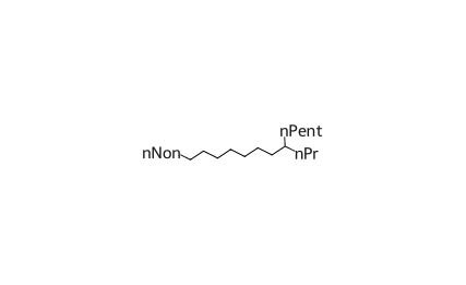 [CH2]CCC(CCCCC)CCCCCCCCCCCCCCCC